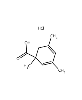 CC1=CC(C)(C(=O)O)CC(C)=C1.Cl